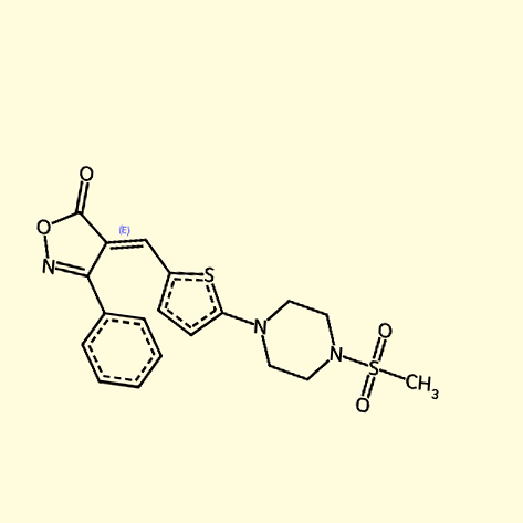 CS(=O)(=O)N1CCN(c2ccc(/C=C3/C(=O)ON=C3c3ccccc3)s2)CC1